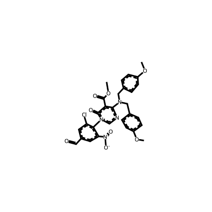 COC(=O)c1c(N(Cc2ccc(OC)cc2)Cc2ccc(OC)cc2)ncn(-c2c(Cl)cc(C=O)cc2[N+](=O)[O-])c1=O